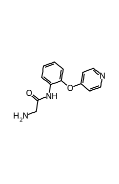 NCC(=O)Nc1ccccc1Oc1ccncc1